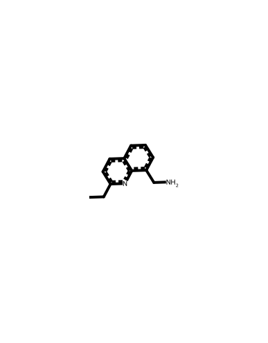 CCc1ccc2cccc(CN)c2n1